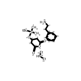 CC(C)(C)[Si](C)(C)OC1CC(=O)OC(=O)C1.CCNCC.NCCc1ccccc1